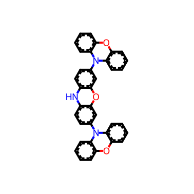 c1ccc2c(c1)Oc1ccccc1N2c1ccc2c(c1)Oc1cc(N3c4ccccc4Oc4ccccc43)ccc1N2